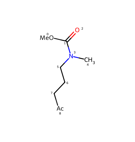 COC(=O)N(C)CCCC(C)=O